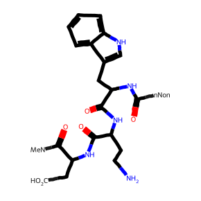 CCCCCCCCCC(=O)NC(Cc1c[nH]c2ccccc12)C(=O)NC(CCN)C(=O)NC(CC(=O)O)C(=O)NC